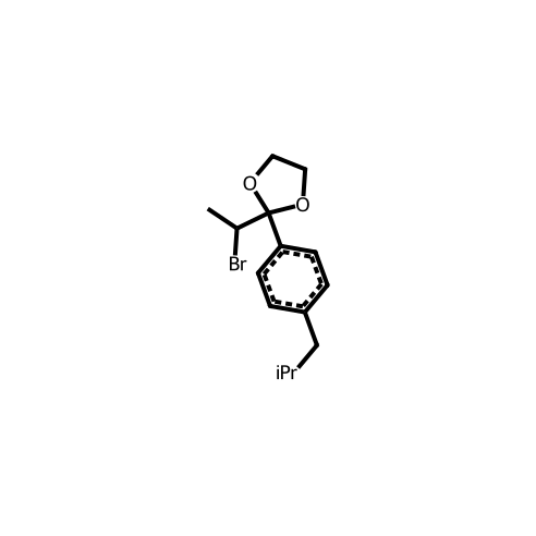 CC(C)Cc1ccc(C2(C(C)Br)OCCO2)cc1